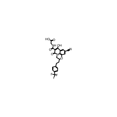 N#Cc1cc2c3c(c1)c(O)c(C(=O)NCC(=O)O)c(=O)n3CC(CCc1ccc(C(F)(F)F)cc1)O2